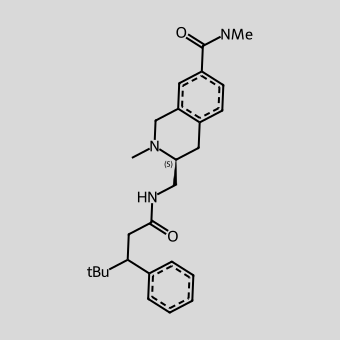 CNC(=O)c1ccc2c(c1)CN(C)[C@H](CNC(=O)CC(c1ccccc1)C(C)(C)C)C2